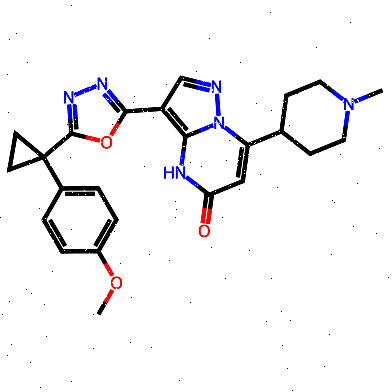 COc1ccc(C2(c3nnc(-c4cnn5c(C6CCN(C)CC6)cc(=O)[nH]c45)o3)CC2)cc1